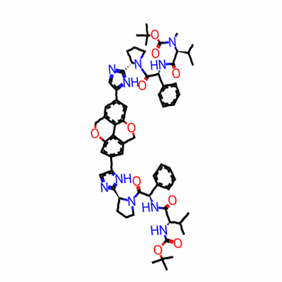 CC(C)[C@H](NC(=O)OC(C)(C)C)C(=O)N[C@@H](C(=O)N1CCC[C@H]1c1ncc(-c2cc3c4c(c2)OCc2cc(-c5cnc([C@@H]6CCCN6C(=O)[C@H](NC(=O)[C@H](C(C)C)N(C)C(=O)OC(C)(C)C)c6ccccc6)[nH]5)cc(c2-4)OC3)[nH]1)c1ccccc1